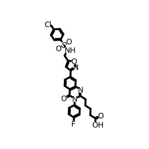 O=C(O)CCCCc1nc2cc(-c3cc(CNS(=O)(=O)c4ccc(Cl)cc4)on3)ccc2c(=O)n1-c1ccc(F)cc1